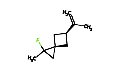 C=C(C)[C@H]1C[C@]2(CC2(C)F)C1